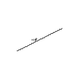 CCCCCCCCCCCCCCCCCCCCCCCCC(CCCCCCCCCCCCCCCCCC)C(=O)O